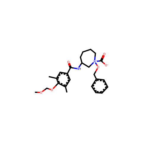 COCOc1c(C)cc(C(=O)NC2CCCC[N+](OCc3ccccc3)(C(=O)[O-])C2)cc1C